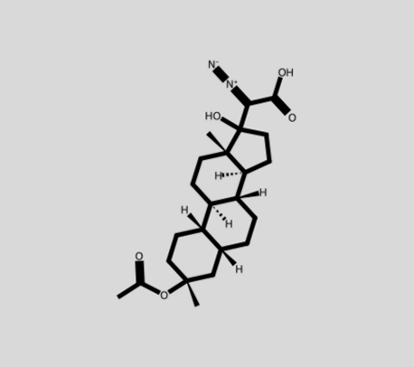 CC(=O)O[C@]1(C)CC[C@H]2[C@H](CC[C@@H]3[C@@H]2CC[C@@]2(C)[C@H]3CCC2(O)C(=[N+]=[N-])C(=O)O)C1